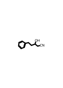 N#CCC(O)CCc1ccccc1